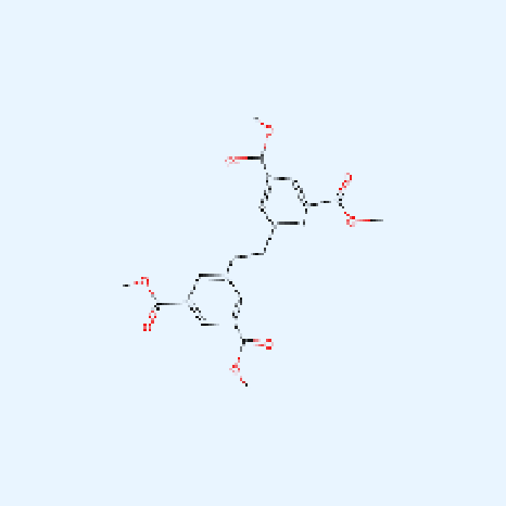 COC(=O)c1cc(CCc2cc(C(=O)OC)cc(C(=O)OC)c2)cc(C(=O)OC)c1